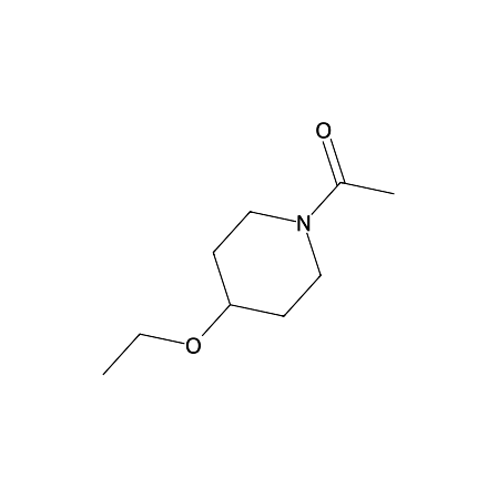 CCOC1CCN(C(C)=O)CC1